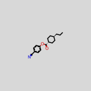 CCC[C@H]1CC[C@H](C(=O)Oc2ccc(C#N)cc2)CC1